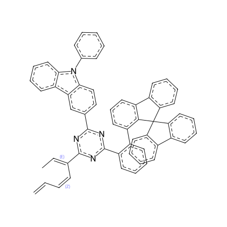 C=C/C=C\C(=C/C)c1nc(-c2ccc3c(c2)c2ccccc2n3-c2ccccc2)nc(-c2ccccc2-c2cccc3c2C2(c4ccccc4-c4ccccc42)c2ccccc2-3)n1